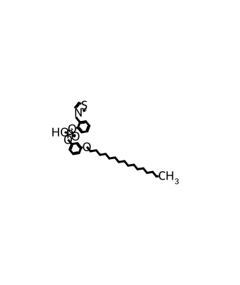 CCCCCCCCCCCCCCCCOc1cccc(OP(=O)(O)Oc2ccccc2C[n+]2ccsc2)c1